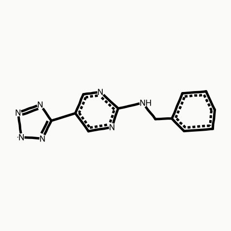 c1ccc(CNc2ncc(C3=N[N]N=N3)cn2)cc1